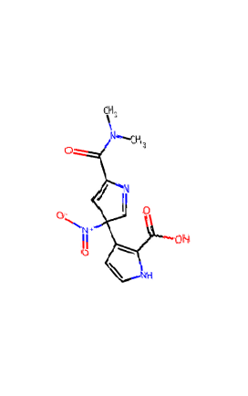 CN(C)C(=O)C1=CC(c2cc[nH]c2C(=O)O)([N+](=O)[O-])C=N1